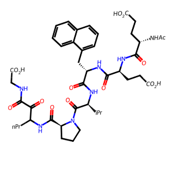 CCCC(NC(=O)[C@@H]1CCCN1C(=O)[C@@H](NC(=O)[C@H](Cc1cccc2ccccc12)NC(=O)[C@H](CCC(=O)O)NC(=O)[C@H](CCC(=O)O)NC(C)=O)C(C)C)C(=O)C(=O)NCC(=O)O